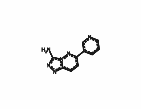 Nc1nnc2ccc(-c3cccnc3)nn12